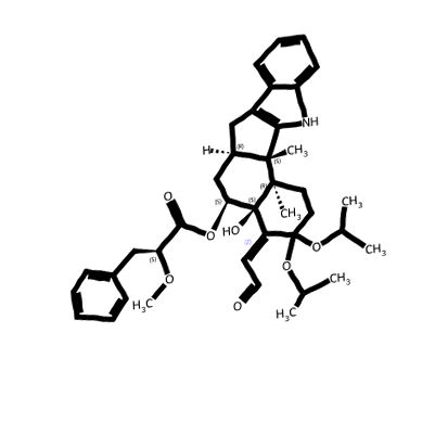 CO[C@@H](Cc1ccccc1)C(=O)O[C@H]1C[C@H]2Cc3c([nH]c4ccccc34)[C@]2(C)[C@@]2(C)CCC(OC(C)C)(OC(C)C)/C(=C\C=O)[C@]12O